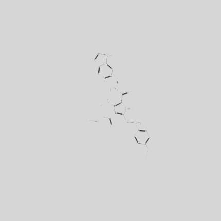 CCOC(=O)c1c(CNc2ccc(OC)cc2)[nH]c(C(=O)NCc2ccc3cc[nH]c3c2)c1CC